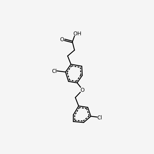 O=C(O)CCc1ccc(OCc2cccc(Cl)c2)cc1Cl